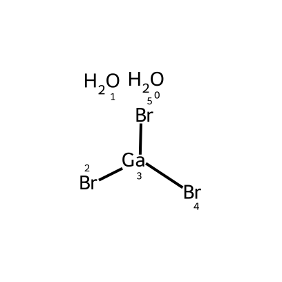 O.O.[Br][Ga]([Br])[Br]